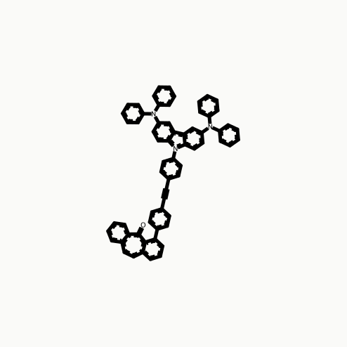 O=c1c2ccccc2ccc2cccc(-c3ccc(C#Cc4ccc(-n5c6ccc(N(c7ccccc7)c7ccccc7)cc6c6cc(N(c7ccccc7)c7ccccc7)ccc65)cc4)cc3)c12